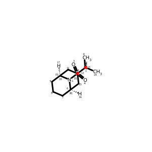 CCS(=O)(=O)N1[C@@H]2CCC[C@H]1C[C@H](NC)C2